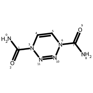 NC(=O)N1C=CN(C(N)=O)N=N1